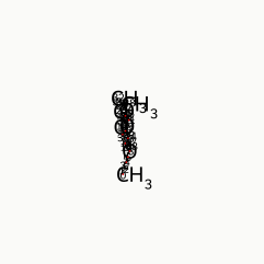 CCCCCCCCOc1ccc(-c2ccc(C(=O)Oc3ccc(C(=O)OC(C)CCCC)cc3)cc2)cc1